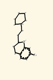 Fc1ccc2c(c1)OC(CCC1CCCCC1)CC2